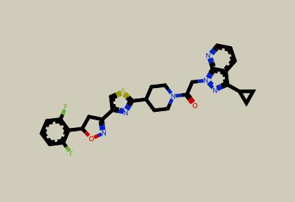 O=C(Cn1nc(C2CC2)c2cccnc21)N1CCC(c2nc(C3=NOC(c4c(F)cccc4F)C3)cs2)CC1